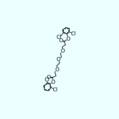 O=C(CCOCCOCCOCCC(=O)Oc1c(Cl)cccc1Cl)Oc1c(Cl)cccc1Cl